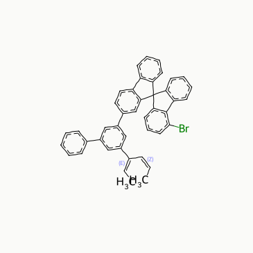 C/C=C\C(=C/C)c1cc(-c2ccccc2)cc(-c2ccc3c(c2)C2(c4ccccc4-3)c3ccccc3-c3c(Br)cccc32)c1